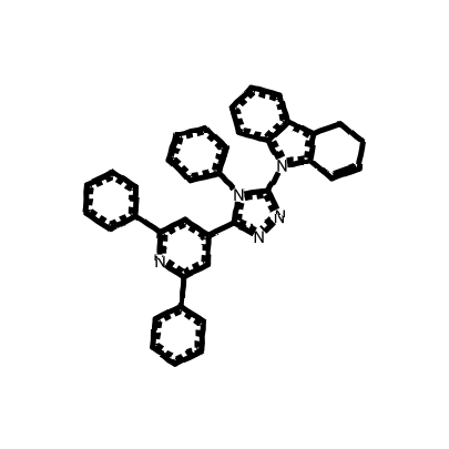 C1=Cc2c(c3ccccc3n2-c2nnc(-c3cc(-c4ccccc4)nc(-c4ccccc4)c3)n2-c2ccccc2)CC1